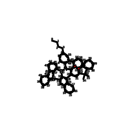 CCCCc1ccc(N2B3c4c(cc5ccccc5c4-c4cc5c(cc42)-c2ccccc2C5(C)C)-n2c4ccccc4c4cccc3c42)c(-c2ccccc2)c1